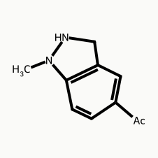 CC(=O)c1ccc2c(c1)CNN2C